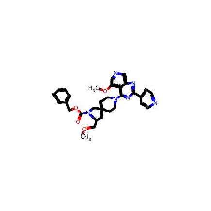 COCC1CC2(CCN(c3nc(-c4ccncc4)nc4cncc(OC)c34)CC2)CN1C(=O)OCc1ccccc1